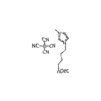 CCCCCCCCCCCCCCn1cc[n+](C)c1.N#C[B-](C#N)(C#N)C#N